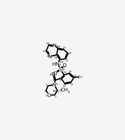 C[C@@H]1COCCN1C(=O)c1ccc(I)cc1S(=O)(=O)Nc1cccc2nccnc12